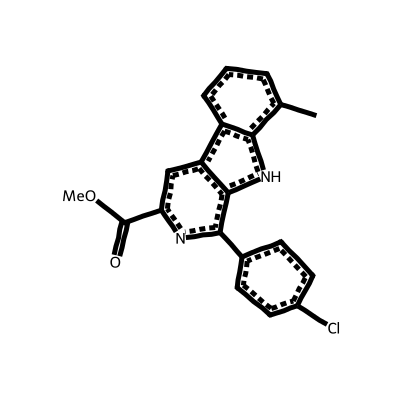 COC(=O)c1cc2c([nH]c3c(C)cccc32)c(-c2ccc(Cl)cc2)n1